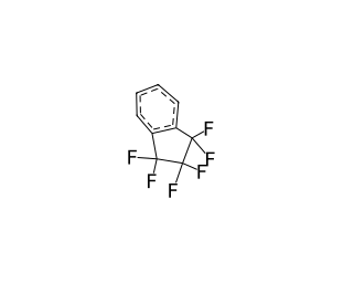 FC1(F)c2ccccc2C(F)(F)C1(F)F